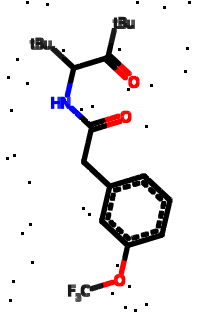 CC(C)(C)C(=O)C(NC(=O)Cc1cccc(OC(F)(F)F)c1)C(C)(C)C